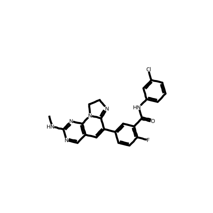 CNc1ncc2c(n1)N1CCN=C1C(c1ccc(F)c(C(=O)Nc3cccc(Cl)c3)c1)=C2